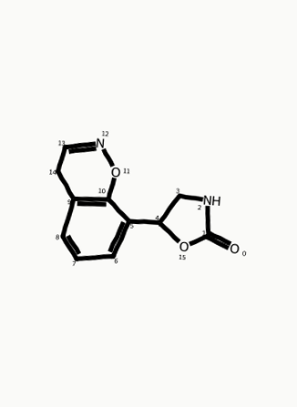 O=C1NC[C](c2cccc3c2ON=CC3)O1